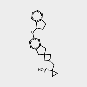 O=C(O)C1(CN2CC3(Cc4ccc(OC5CCc6ccccc65)cc4C3)C2)CC1